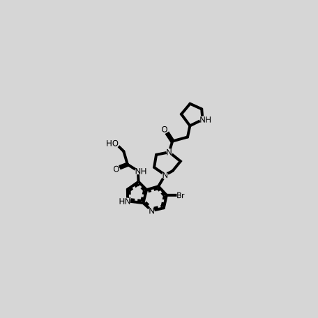 O=C(CO)Nc1c[nH]c2ncc(Br)c(N3CCN(C(=O)CC4CCCN4)CC3)c12